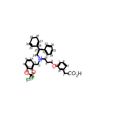 O=C(O)Cc1cccc(OCCCN(Cc2cccc3c2OC(F)(F)O3)CC(C2=CCCC=C2)c2ccccc2)c1